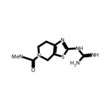 CNC(=O)N1CCc2nc(NC(=N)N)sc2C1